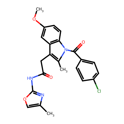 COc1ccc2c(c1)c(CC(=O)Nc1nc(C)co1)c(C)n2C(=O)c1ccc(Cl)cc1